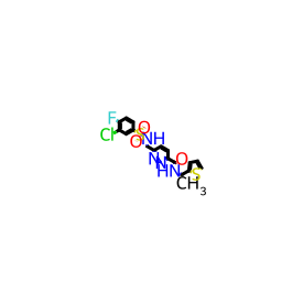 CC(NC(=O)c1ccc(CNS(=O)(=O)c2ccc(F)c(Cl)c2)nn1)c1cccs1